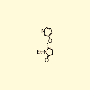 CCN1C(=O)CC[C@H]1COc1cccnc1